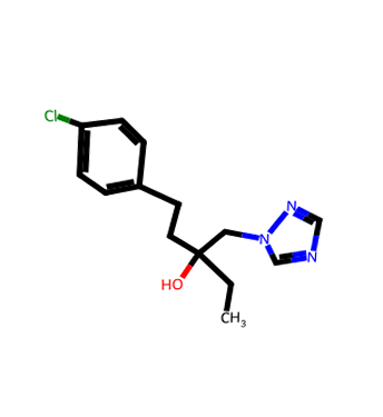 CCC(O)(CCc1ccc(Cl)cc1)Cn1cncn1